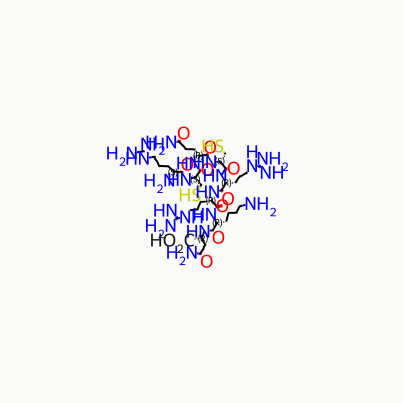 N=C(N)NCCC[C@H](N)C(=O)N[C@H](CS)C(=O)N[C@H](CCC(N)=O)C(=O)N[C@H](CS)C(=O)N[C@H](CCCNC(=N)N)C(=O)N[C@H](CCCNC(=N)N)C(=O)N[C@H](CCCCN)C(=O)N[C@H](CC(N)=O)C(=O)O